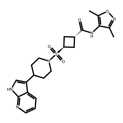 Cc1noc(C)c1NC(=O)[C@H]1C[C@H](S(=O)(=O)N2CCC(c3c[nH]c4ncccc34)CC2)C1